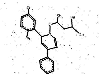 CCCc1ccc(C)cc1C1C=C(c2ccccc2)C=CN1OC(C)CC(C)O